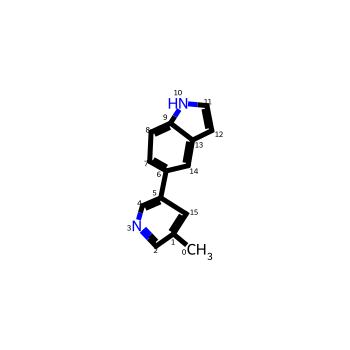 Cc1cncc(-c2ccc3[nH]ccc3c2)c1